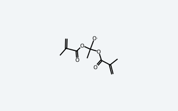 C=C(C)C(=O)OC(C)([O])OC(=O)C(=C)C